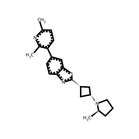 Cc1ccc(-c2ccc3nc([C@H]4C[C@@H](N5CCC[C@H]5C)C4)sc3c2)c(C)n1